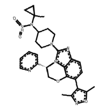 Cc1noc(C)c1-c1ccc2nc(N3CCC(N([SH](=O)=O)C4(C)CC4)CC3)n3c2c1OC[C@@H]3c1ccccn1